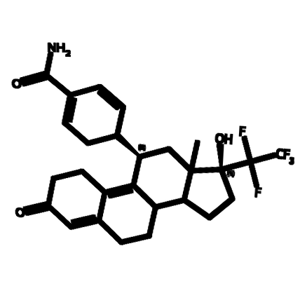 CC12C[C@H](C3C=CC(C(N)=O)=CC3)C3=C4CCC(=O)C=C4CCC3C1CC[C@@]2(O)C(F)(F)C(F)(F)F